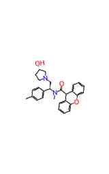 Cc1ccc([C@@H](CN2CC[C@H](O)C2)N(C)C(=O)C2c3ccccc3Oc3ccccc32)cc1